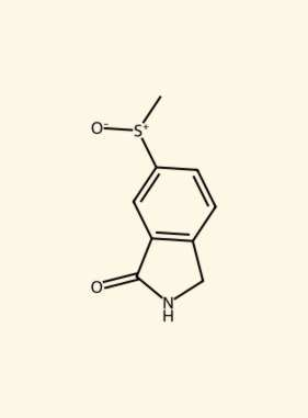 C[S+]([O-])c1ccc2c(c1)C(=O)NC2